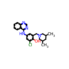 CC1CC(C)CN(Cc2cc(Nc3ncnc4ccccc34)cc(Cl)c2O)C1